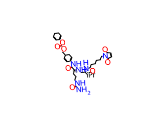 CC(C)C(CN[C@@H](CCCNC(N)=O)C(=O)NC1=CCC(COC(=O)OC2=CCCC=C2)C=C1)NC(=O)CCCCCN1C(=O)C=CC1=O